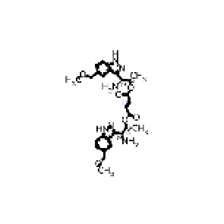 COCc1ccc2[nH]nc([C@H](N)[C@H](C)OC(=O)/C=C/C(=O)O[C@@H](C)[C@@H](N)c3n[nH]c4ccc(COC)cc34)c2c1